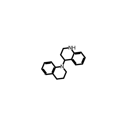 [c]1cccc2c1CCCN2C1CCNc2ccccc21